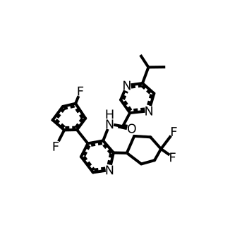 CC(C)c1cnc(C(=O)Nc2c(-c3cc(F)ccc3F)ccnc2C2CCC(F)(F)CC2)cn1